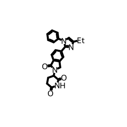 CCc1cn(-c2ccccc2)c(-c2ccc3c(c2)CN(C2CCC(=O)NC2=O)C3=O)n1